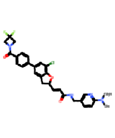 CC(C)(C)N(C(=O)O)c1ccc(CNC(=O)/C=C/C2Cc3cc(-c4ccc(C(=O)N5CC(F)(F)C5)cc4)cc(Cl)c3O2)cn1